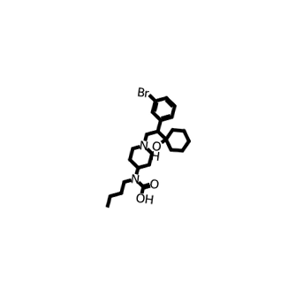 CCCCN(C(=O)O)C1CCN(CC(c2cccc(Br)c2)C2(O)CCCCC2)CC1